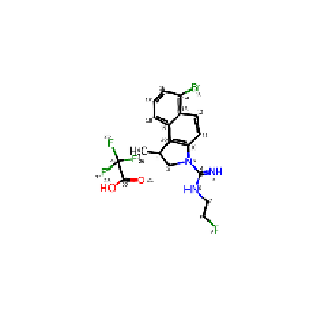 CC1CN(C(=N)NCCF)c2ccc3c(Br)cccc3c21.O=C(O)C(F)(F)F